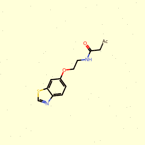 CC(=O)CC(=O)NCCOc1ccc2ncsc2c1